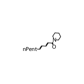 CCCCCC=CC=CC(=O)N1CCCCC1